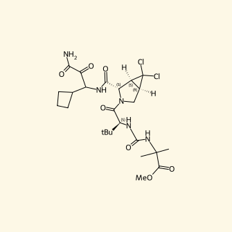 COC(=O)C(C)(C)NC(=O)N[C@H](C(=O)N1C[C@H]2[C@@H]([C@H]1C(=O)NC(C(=O)C(N)=O)C1CCC1)C2(Cl)Cl)C(C)(C)C